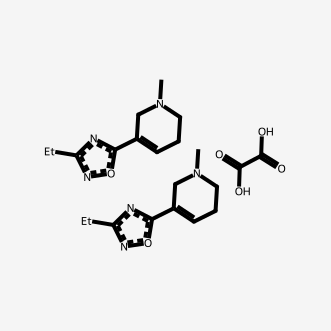 CCc1noc(C2=CCCN(C)C2)n1.CCc1noc(C2=CCCN(C)C2)n1.O=C(O)C(=O)O